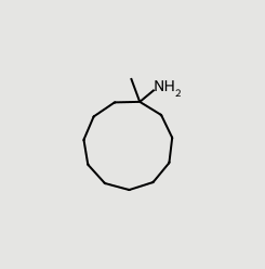 CC1(N)CCCCCCCCCC1